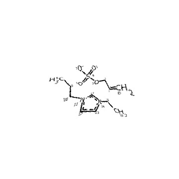 C=CCOS(=O)(=O)[O-].CCC[n+]1ccn(CC)c1